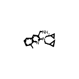 Cc1cccc2cc(CN)c(N(CC3CC3)CC3CC3)nc12